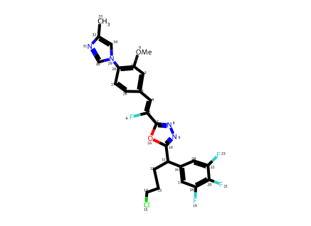 COc1cc(C=C(F)c2nnc(C(CCCCl)c3cc(F)c(F)c(F)c3)o2)ccc1-n1cnc(C)c1